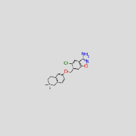 CC1(C)CCc2cc(OCc3cc4onc(N)c4cc3Cl)ccc2C1